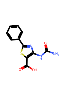 NC(=O)Nc1nc(-c2ccccc2)sc1C(=O)O